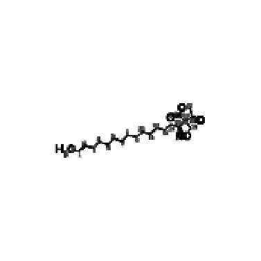 CCCCCCCCCCCCCCCC(=O)[C@@]1(CO)C(=O)COC1=O